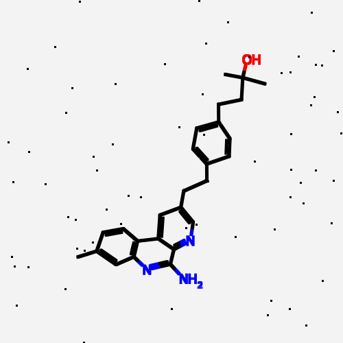 Cc1ccc2c(c1)nc(N)c1ncc(CCc3ccc(CCC(C)(C)O)cc3)cc12